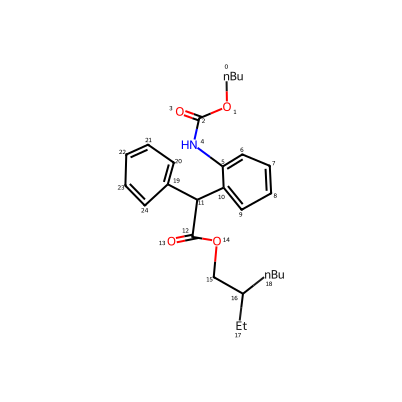 CCCCOC(=O)Nc1ccccc1C(C(=O)OCC(CC)CCCC)c1ccccc1